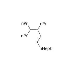 CCCCCCCCCC(CCC)C(CCC)CCC